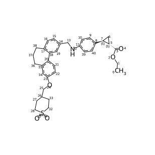 CCOC(=O)[C@H]1C[C@@H]1c1ccc(NCc2ccc3c(c2)-c2ccc(OCC4CCS(=O)(=O)CC4)cc2CCC3)cc1